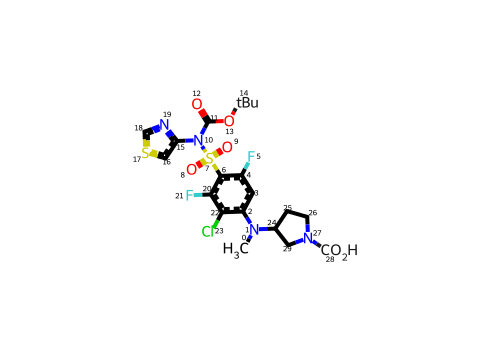 CN(c1cc(F)c(S(=O)(=O)N(C(=O)OC(C)(C)C)c2cscn2)c(F)c1Cl)C1CCN(C(=O)O)C1